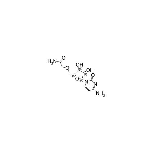 NC(=O)COC[C@H]1O[C@@H](n2ccc(N)nc2=O)[C@H](O)[C@@H]1O